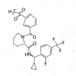 CS(=O)(=O)c1cccc(C(=O)N2CCCCC2C(=O)N[C@@H](c2ccc(C(F)(F)F)cc2F)C2CC2)c1